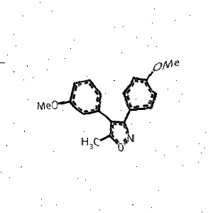 COc1ccc(-c2noc(C)c2-c2cccc(OC)c2)cc1